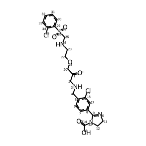 O=C(CNCc1ccc(C2=NCCN2C(=O)O)cc1Cl)COCCNCS(=O)(=O)c1ccccc1Cl